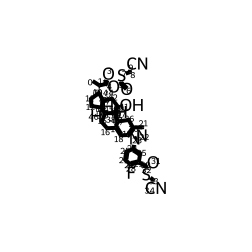 CC(C(=O)OC(=O)SCC#N)[C@H]1CC[C@H]2[C@@H]3CCC4=Cc5c(cnn5-c5ccc(F)c(C(=O)SCC#N)c5)C[C@]4(C)[C@H]3[C@@H](O)C[C@]12C